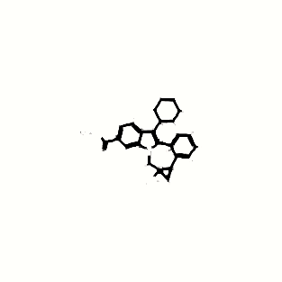 COC(=O)c1ccc2c(C3CCCCC3)c3n(c2c1)CC1(S(=O)(=O)O)CC1c1ccccc1-3